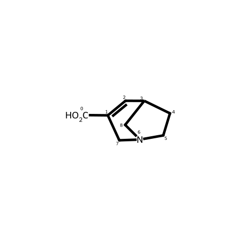 O=C(O)C1=CC2CCN(C1)C2